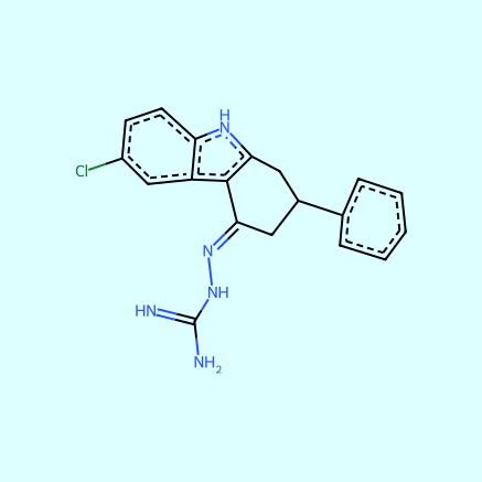 N=C(N)NN=C1CC(c2ccccc2)Cc2[nH]c3ccc(Cl)cc3c21